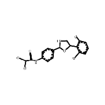 O=C(Nc1ccc(C2NCC(c3c(Cl)cccc3Cl)O2)cc1)C(Cl)Cl